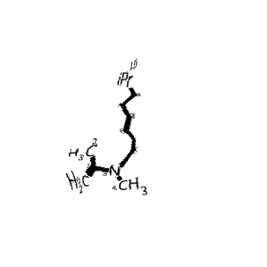 C=C(C)N(C)CCCCCC(C)C